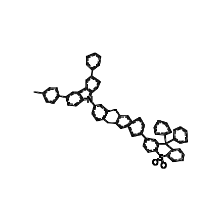 Cc1ccc(-c2ccc3c(c2)c2cc(-c4ccccc4)ccc2n3-c2ccc3c(c2)Cc2cc4ccc(-c5ccc6c(c5)C(c5ccccc5)(c5ccccc5)c5ccccc5S6(=O)=O)cc4cc2C3)cc1